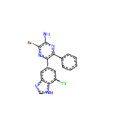 Nc1nc(-c2ccccc2)c(-c2cc(Cl)c3[nH]cnc3c2)nc1Br